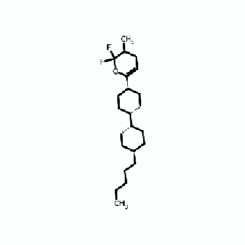 CCCCC[C@H]1CC[C@H]([C@H]2CC[C@H](C3=CCC(C)C(F)(F)O3)CC2)CC1